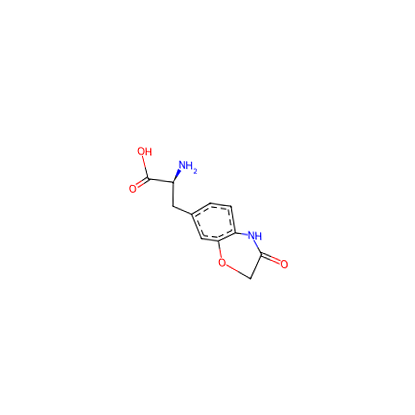 N[C@@H](Cc1ccc2c(c1)OCC(=O)N2)C(=O)O